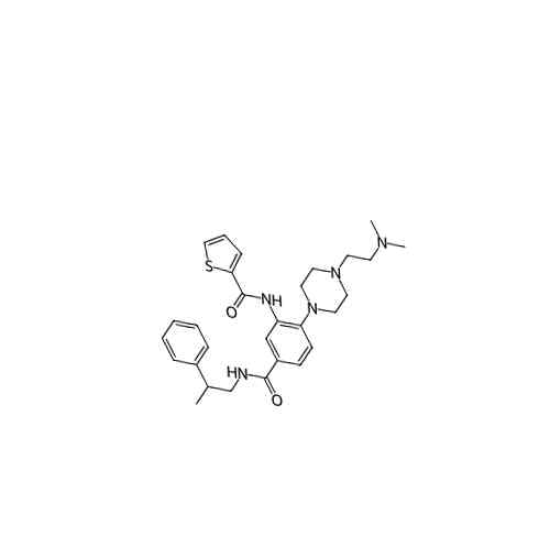 CC(CNC(=O)c1ccc(N2CCN(CCN(C)C)CC2)c(NC(=O)c2cccs2)c1)c1ccccc1